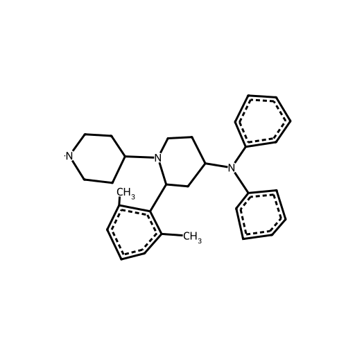 Cc1cccc(C)c1C1CC(N(c2ccccc2)c2ccccc2)CCN1C1CC[N]CC1